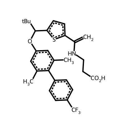 C=C(NCCC(=O)O)c1ccc(C(Oc2cc(C)c(-c3ccc(C(F)(F)F)cc3)c(C)c2)C(C)(C)C)s1